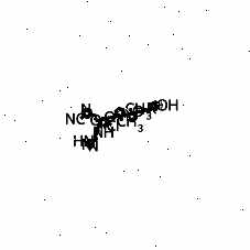 Cc1c(COc2cc(OCc3cncc(C#N)c3)c(CNCCc3ncn[nH]3)cc2Cl)cccc1-c1cccc(OCCCN2CC[C@@H](O)C2)c1C